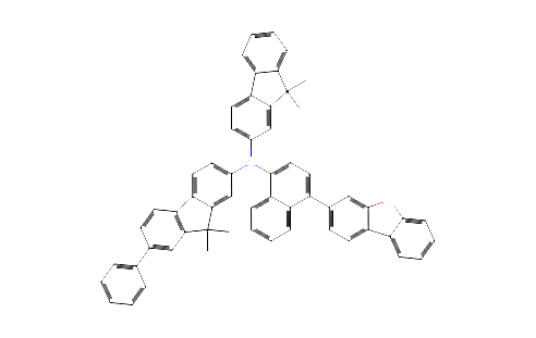 CC1(C)c2ccccc2-c2ccc(N(c3ccc4c(c3)C(C)(C)c3cc(-c5ccccc5)ccc3-4)c3ccc(-c4ccc5c(c4)oc4ccccc45)c4ccccc34)cc21